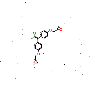 ClC(Cl)=C(c1ccc(OCC2CO2)cc1)c1ccc(OCC2CO2)cc1